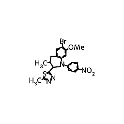 COc1cc2c(cc1Br)CC(C)C(c1nnc(C)s1)CN2c1ccc([N+](=O)[O-])cc1